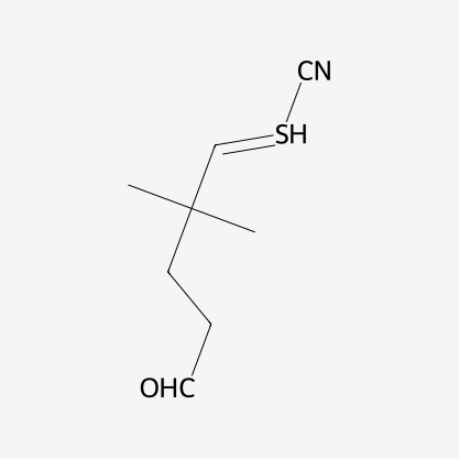 CC(C)(C=[SH]C#N)CCC=O